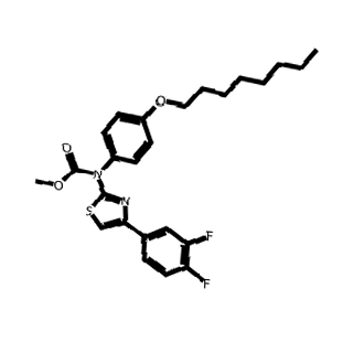 CCCCCCCCOc1ccc(N(C(=O)OC)c2nc(-c3ccc(F)c(F)c3)cs2)cc1